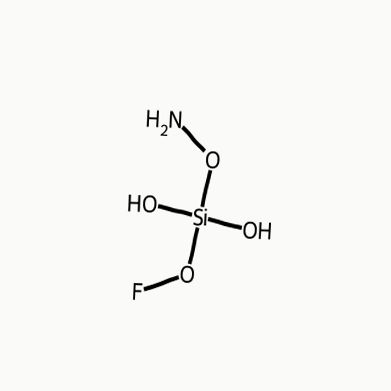 NO[Si](O)(O)OF